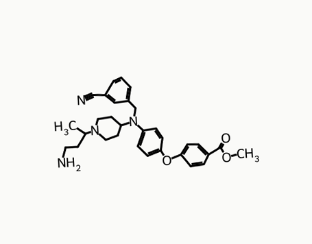 COC(=O)c1ccc(Oc2ccc(N(Cc3cccc(C#N)c3)C3CCN(C(C)CCN)CC3)cc2)cc1